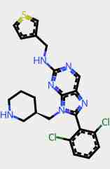 Clc1cccc(Cl)c1-c1nc2cnc(NCc3ccsc3)nc2n1C[C@@H]1CCCNC1